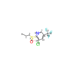 CCC[S+]([O-])c1ncc(C(F)(F)F)cc1Cl